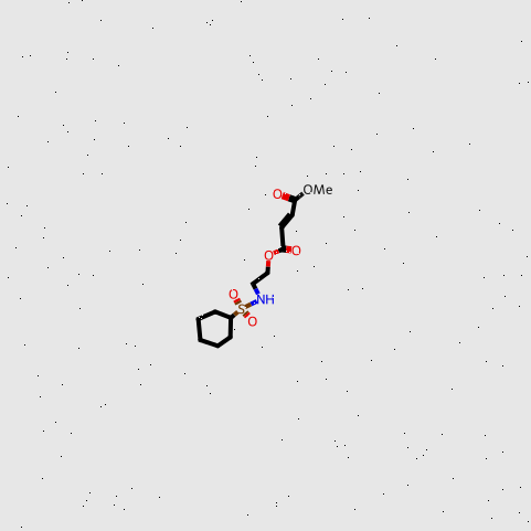 COC(=O)/C=C/C(=O)OCCNS(=O)(=O)C1CCCCC1